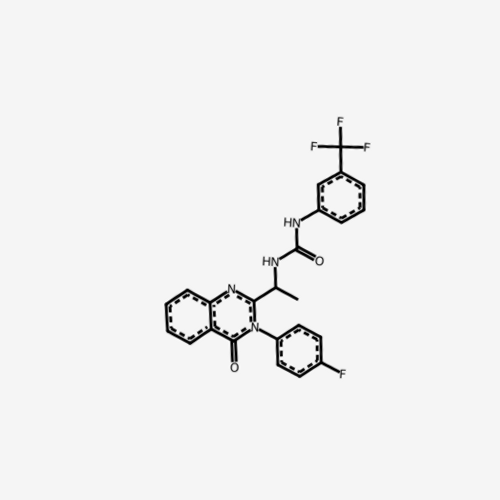 CC(NC(=O)Nc1cccc(C(F)(F)F)c1)c1nc2ccccc2c(=O)n1-c1ccc(F)cc1